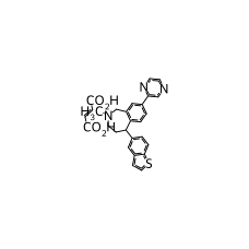 CN1CCC(c2ccc3sccc3c2)c2ccc(-c3cnccn3)cc2C1.O=C(O)C=CC(=O)O